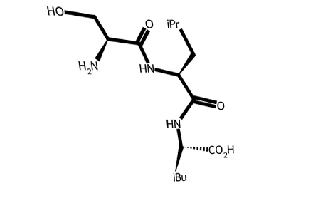 CC[C@H](C)[C@H](NC(=O)[C@H](CC(C)C)NC(=O)[C@@H](N)CO)C(=O)O